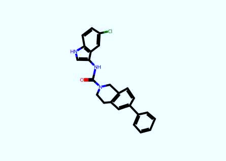 O=C(Nc1c[nH]c2ccc(Cl)cc12)N1CCc2cc(-c3ccccc3)ccc2C1